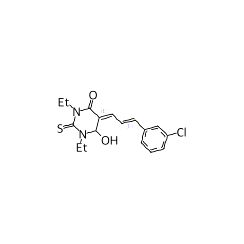 CCN1C(=O)/C(=C/C=C/c2cccc(Cl)c2)C(O)N(CC)C1=S